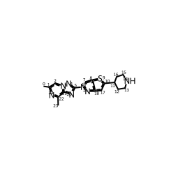 Cc1cn2nc(-n3cc4sc(C5CCNCC5)cc4n3)nc2c(C)n1